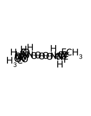 CC(=O)Nc1cc(NCCOCCOCCOCCOCCOCCNCCCONC(=O)c2ccc(F)c(F)c2Nc2ccc(C)cc2F)ccc1C(=O)Nc1nc(C)c([N+](=O)[O-])s1